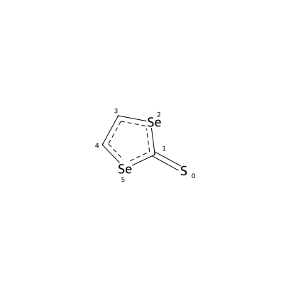 S=c1[se]cc[se]1